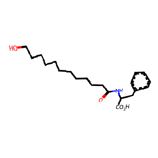 O=C(CCCCCCCCCCCO)NC(Cc1ccccc1)C(=O)O